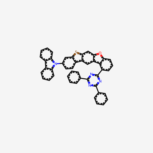 c1ccc(-c2nc(-c3ccccc3)nc(-c3cccc4oc5cc6sc7cc(-n8c9ccccc9c9ccccc98)ccc7c6cc5c34)n2)cc1